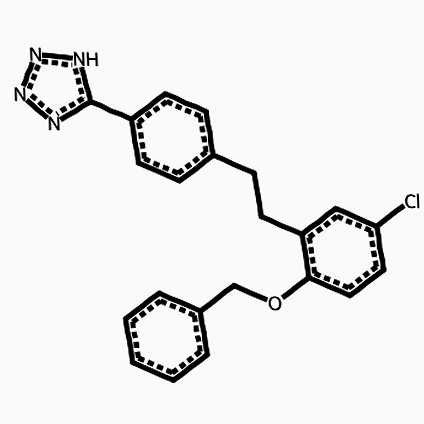 Clc1ccc(OCc2ccccc2)c(CCc2ccc(-c3nnn[nH]3)cc2)c1